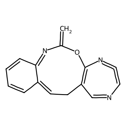 C=C1/N=c2/cccc/c2=C/CC2=C(N=C=CN=C2)O1